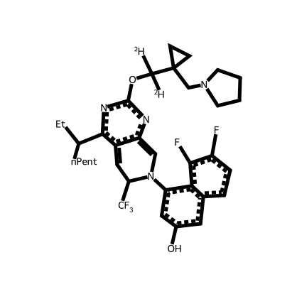 [2H]C([2H])(Oc1nc(C(CC)CCCCC)c2c(n1)=CN(c1cc(O)cc3ccc(F)c(F)c13)C(C(F)(F)F)C=2)C1(CN2CCCC2)CC1